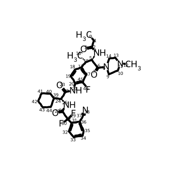 CCC(=O)N[C@@H](C(=O)N1CCN(C)CC1)[C@@H](C)c1ccc(NC(=O)[C@@H](NC(=O)C(F)(F)c2ccccc2C#N)C2CCCCC2)c(F)c1